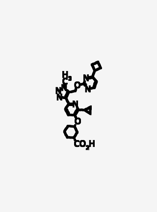 Cn1nnc(-c2ccc(O[C@H]3CCC[C@H](C(=O)O)C3)c(C3CC3)n2)c1COc1nccc(C2CCC2)n1